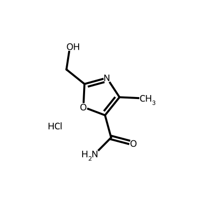 Cc1nc(CO)oc1C(N)=O.Cl